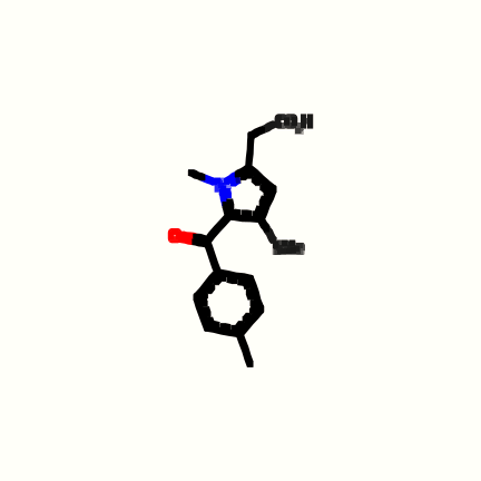 CSc1cc(CC(=O)O)n(C)c1C(=O)c1ccc(C)cc1